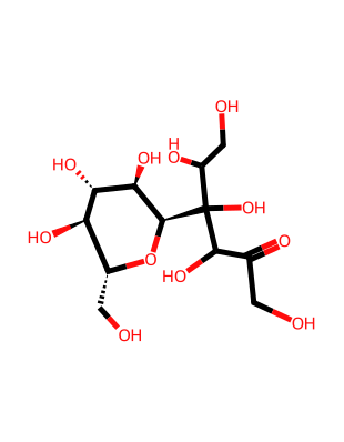 O=C(CO)C(O)C(O)(C(O)CO)[C@H]1O[C@H](CO)[C@@H](O)[C@H](O)[C@H]1O